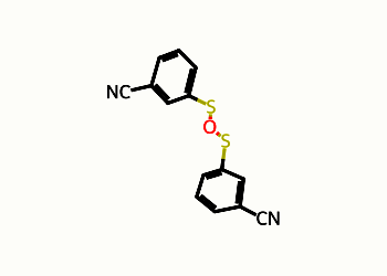 N#Cc1cccc(SOSc2cccc(C#N)c2)c1